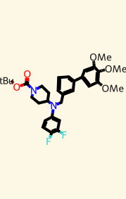 COc1cc(-c2cccc(CN(c3ccc(F)c(F)c3)C3CCN(C(=O)OC(C)(C)C)CC3)c2)cc(OC)c1OC